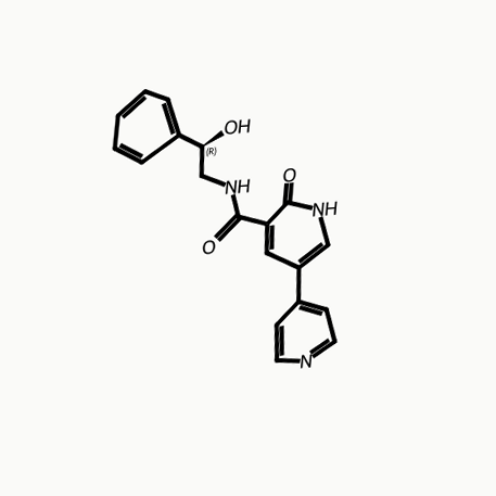 O=C(NC[C@H](O)c1ccccc1)c1cc(-c2ccncc2)c[nH]c1=O